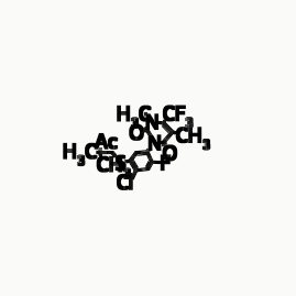 CC(=O)C(C)(C)CSc1cc(-n2c(=O)c(C)c(C(F)(F)F)n(C)c2=O)c(F)cc1Cl